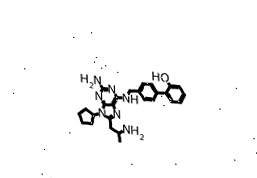 CC(N)Cc1nc2c(NCc3ccc(-c4ccccc4O)cc3)nc(N)nc2n1C1CCCC1